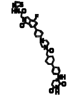 O=C1CC[C@@H](Nc2ccc(C3CCC(CC(=O)N4CCN(c5ccc(-c6cc(F)c7c(c6)C(=O)N(CC(=O)Nc6nccs6)C7)cc5)CC4)CC3)cc2)C(=O)N1